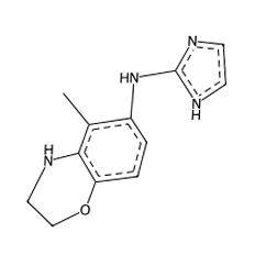 Cc1c(Nc2ncc[nH]2)ccc2c1NCCO2